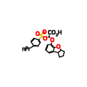 CCCc1ccc(S(=O)(=O)OC(Oc2cccc3c2OC2CCCC32)C(=O)O)cc1